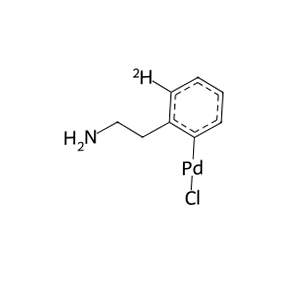 [2H]c1ccc[c]([Pd][Cl])c1CCN